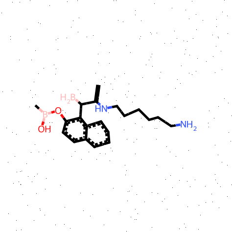 BC(C(=C)NCCCCCCN)c1c(OB(C)O)ccc2ccccc12